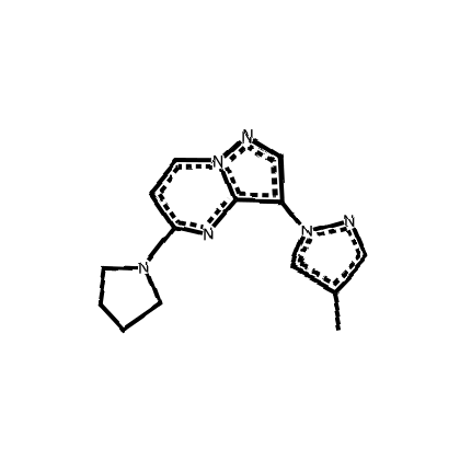 Cc1cnn(-c2cnn3ccc(N4CCCC4)nc23)c1